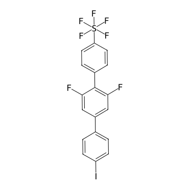 Fc1cc(-c2ccc(I)cc2)cc(F)c1-c1ccc(S(F)(F)(F)(F)F)cc1